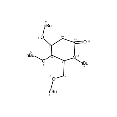 CCCCOCC1C(OCCCC)C(OCCCC)CC(=O)N1CCCC